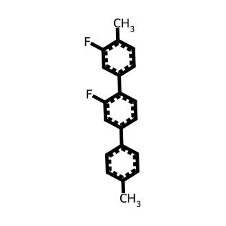 Cc1ccc(-c2ccc(-c3ccc(C)c(F)c3)c(F)c2)cc1